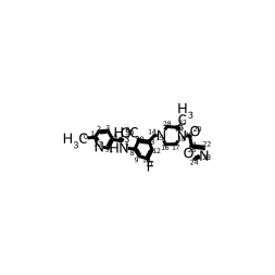 Cc1ccc(C(=O)Nc2cc(F)cc(CN3CCN(C(=O)c4cnco4)[C@@H](C)C3)c2C)cn1